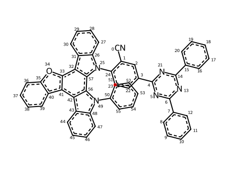 N#Cc1cc(-c2nc(-c3ccccc3)nc(-c3ccccc3)n2)ccc1-n1c2ccccc2c2c3oc4ccccc4c3c3c4ccccc4n(-c4ccccc4)c3c21